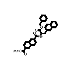 COC(=O)c1ccc2cc(C(=O)N[C@H](Cc3ccc4ccccc4c3)C(=O)OCc3ccccc3)ccc2c1